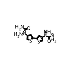 NC(=O)N(N)c1csc(-c2cc(N(N)C(N)=O)cs2)c1